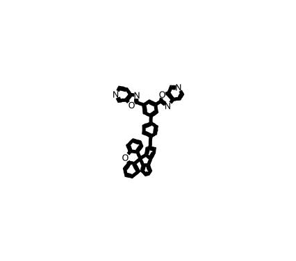 c1ccc2c(c1)Oc1ccccc1C21c2ccccc2-c2ccc(-c3ccc(-c4cc(-c5nc6ccncc6o5)cc(-c5nc6ccncc6o5)c4)cc3)cc21